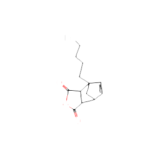 CCCCCC12C=CC(C1)C1C(=O)OC(=O)C12